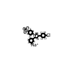 O=S(=O)([O-])c1ccc(N2N=C(c3ccc(Cl)cc3)CC2c2ccccc2)cc1.[Na+]